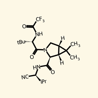 CC(C)[C@@H](C#N)NC(=O)[C@@H]1[C@@H]2[C@H](CN1C(=O)[C@@H](NC(=O)C(F)(F)F)C(C)(C)C)C2(C)C